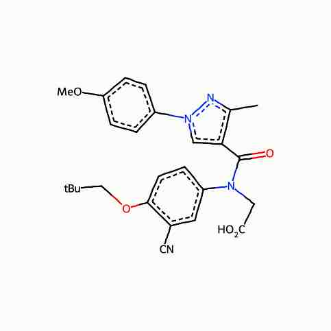 COc1ccc(-n2cc(C(=O)N(CC(=O)O)c3ccc(OCC(C)(C)C)c(C#N)c3)c(C)n2)cc1